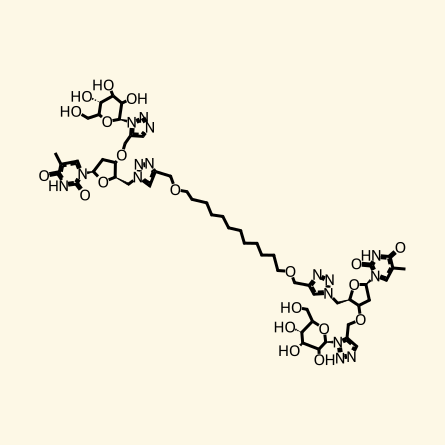 Cc1cn([C@H]2CC(OCc3cnnn3[C@@H]3OC(CO)[C@@H](O)[C@H](O)C3O)[C@@H](Cn3cc(COCCCCCCCCCCCCOCc4cn(C[C@H]5O[C@@H](n6cc(C)c(=O)[nH]c6=O)CC5OCc5cnnn5[C@H]5OC(CO)[C@H](O)C(O)C5O)nn4)nn3)O2)c(=O)[nH]c1=O